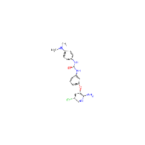 CN(C)c1ccc(NC(=O)Nc2cccc(Oc3cc(Cl)cnc3N)c2)cc1